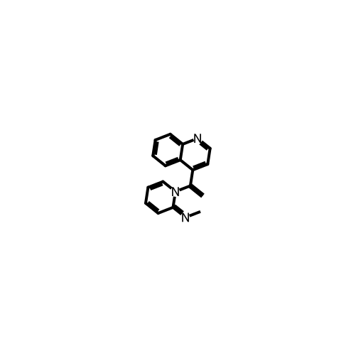 C=C(c1ccnc2ccccc12)n1cccc/c1=N/C